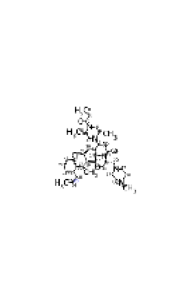 C=CC(=O)N1C[C@H](C)N(c2nc(=O)n3c4c(c(C(=C)c5ccccc5/C=C\C)c(Cl)cc24)OC[C@H]3CN2CCN(C)CC2)C[C@H]1C